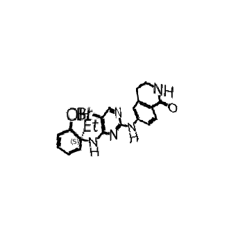 CC[C@]1(Nc2nc(Nc3ccc4c(c3)CCNC4=O)ncc2Br)C=CC=CC1O